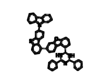 c1ccc(C2=NC(c3ccccc3)NC(c3cccc4oc5cc(-c6cccc7sc8cc(-n9c%10ccccc%10c%10ccccc%109)ccc8c67)ccc5c34)N2)cc1